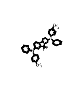 Cc1ccc(N(c2ccccc2)c2ccc3c(c2)C(F)(F)c2cc(N(c4ccccc4)c4ccc(C)cc4)ccc2-3)cc1